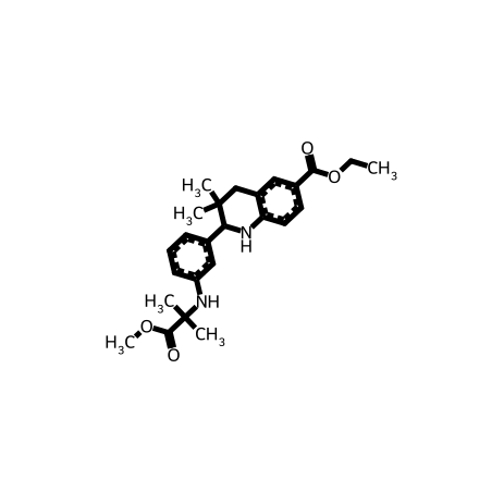 CCOC(=O)c1ccc2c(c1)CC(C)(C)C(c1cccc(NC(C)(C)C(=O)OC)c1)N2